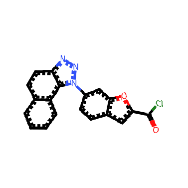 O=C(Cl)c1cc2ccc(-n3nnc4ccc5ccccc5c43)cc2o1